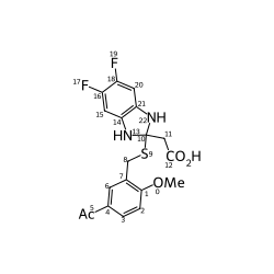 COc1ccc(C(C)=O)cc1CSC1(CC(=O)O)Nc2cc(F)c(F)cc2N1